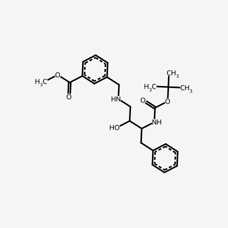 COC(=O)c1cccc(CNCC(O)C(Cc2ccccc2)NC(=O)OC(C)(C)C)c1